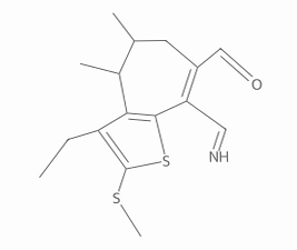 CCc1c(SC)sc2c1C(C)C(C)CC(C=O)=C2C=N